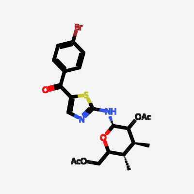 CC(=O)OCC1O[C@H](Nc2ncc(C(=O)c3ccc(Br)cc3)s2)C(OC(C)=O)[C@@H](C)[C@@H]1C